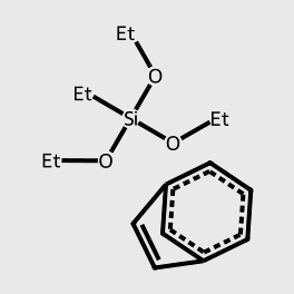 C1=Cc2cccc1c2.CCO[Si](CC)(OCC)OCC